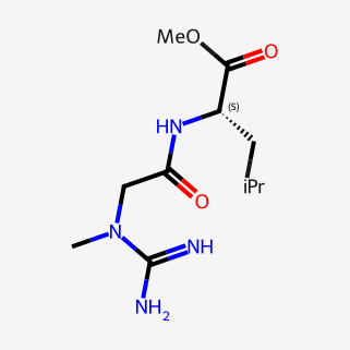 COC(=O)[C@H](CC(C)C)NC(=O)CN(C)C(=N)N